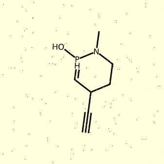 C#CC1C=[PH](O)N(C)CC1